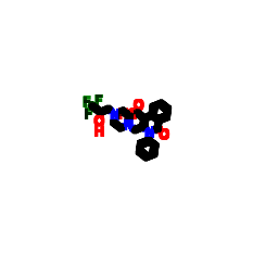 O=C(O)c1c(CN2CCN(CC(O)C(F)(F)F)CC2)n(-c2ccccc2)c(=O)c2ccccc12